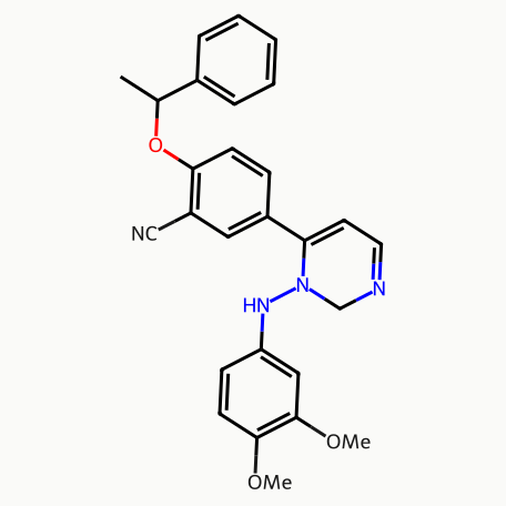 COc1ccc(NN2CN=CC=C2c2ccc(OC(C)c3ccccc3)c(C#N)c2)cc1OC